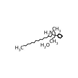 CCCCCCCCCCCCCCCC(N)C(CCC)(CCC)c1ccccc1.O